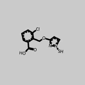 O=C(O)c1cccc(Cl)c1COc1ccn(S)n1